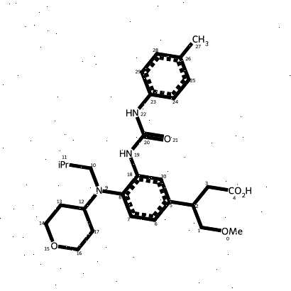 COCC(CC(=O)O)c1ccc(N(CC(C)C)C2CCOCC2)c(NC(=O)Nc2ccc(C)cc2)c1